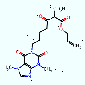 C=CCOC(=O)C(C(=O)O)C(=O)CCCCn1c(=O)c2c(ncn2C)n(C)c1=O